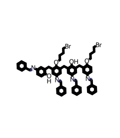 Oc1ccc(/N=C/c2ccccc2)cc1Cc1cc(/N=C/c2ccccc2)cc(Cc2cc(/N=C/c3ccccc3)cc(Cc3cc(/N=C/c4ccccc4)ccc3OCCCCBr)c2O)c1OCCCCBr